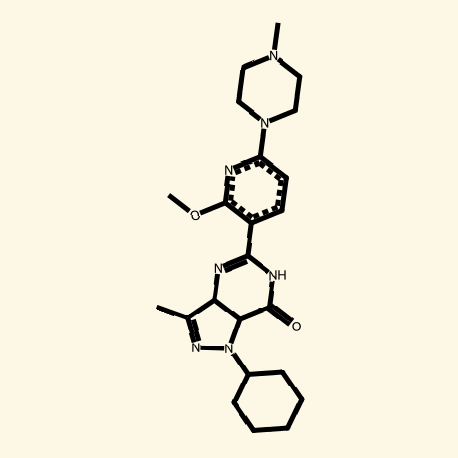 COc1nc(N2CCN(C)CC2)ccc1C1=NC2C(C)=NN(C3CCCCC3)C2C(=O)N1